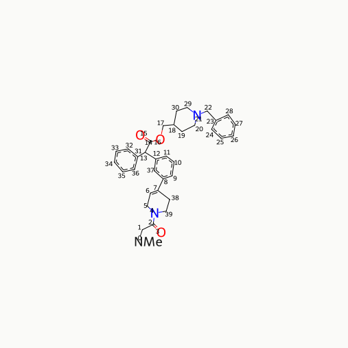 CNCC(=O)N1CC=C(c2cccc(C(C(=O)OCC3CCN(Cc4ccccc4)CC3)c3ccccc3)c2)CC1